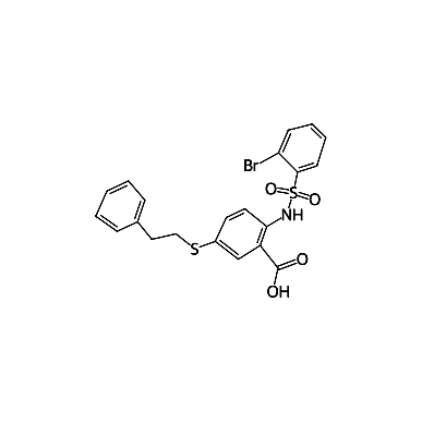 O=C(O)c1cc(SCCc2ccccc2)ccc1NS(=O)(=O)c1ccccc1Br